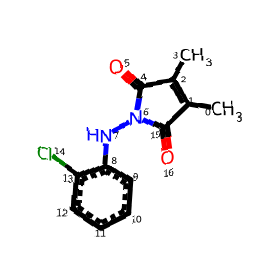 CC1=C(C)C(=O)N(Nc2ccccc2Cl)C1=O